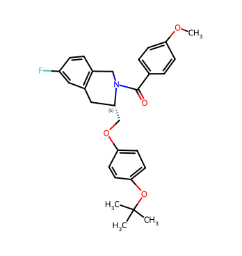 COc1ccc(C(=O)N2Cc3ccc(F)cc3C[C@H]2COc2ccc(OC(C)(C)C)cc2)cc1